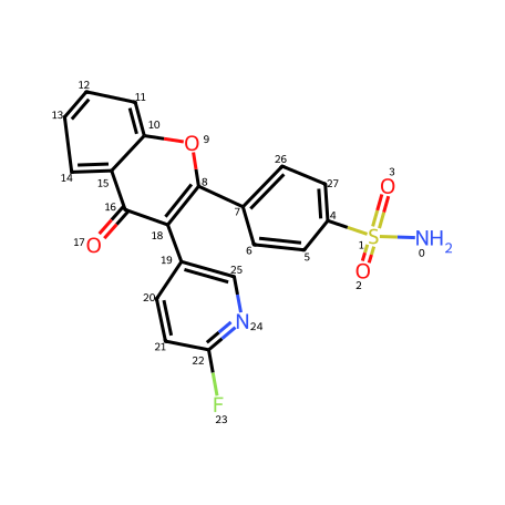 NS(=O)(=O)c1ccc(-c2oc3ccccc3c(=O)c2-c2ccc(F)nc2)cc1